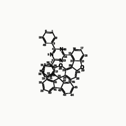 c1ccc(-c2nc(-c3ccccc3)nc(-c3cccc4oc5ccc6c(c5c34)Oc3ccccc3C63c4ccccc4-c4ccccc43)n2)cc1